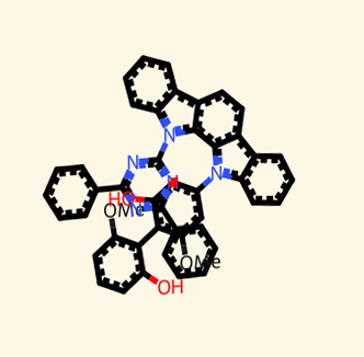 COc1cccc(O)c1-c1c(O)cc(-n2c3ccccc3c3ccc4c5ccccc5n(-c5nc(-c6ccccc6)nc(-c6ccccc6)n5)c4c32)cc1OC